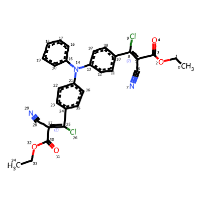 CCOC(=O)/C(C#N)=C(\Cl)c1ccc(N(c2ccccc2)c2ccc(/C(Cl)=C(\C#N)C(=O)OCC)cc2)cc1